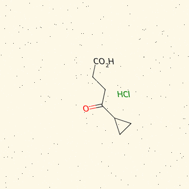 Cl.O=C(O)CCC(=O)C1CC1